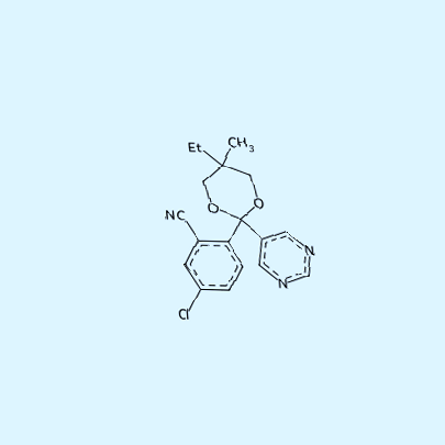 CCC1(C)COC(c2cncnc2)(c2ccc(Cl)cc2C#N)OC1